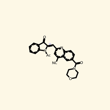 CC(=O)N1/C(=C\c2cc(C#N)c3cc(C(=O)N4CCOCC4)ccc3n2)C(=O)c2ccccc21